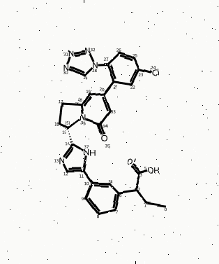 CCC(C(=O)O)c1cccc(-c2cnc([C@@H]3CCc4cc(-c5cc(Cl)ccc5-n5cnnn5)cc(=O)n43)[nH]2)c1